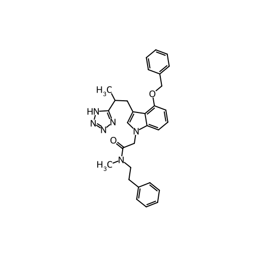 CC(Cc1cn(CC(=O)N(C)CCc2ccccc2)c2cccc(OCc3ccccc3)c12)c1nnn[nH]1